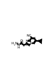 N#Cc1cc(C2CC2)cn2cc(CC(=O)NN)nc12